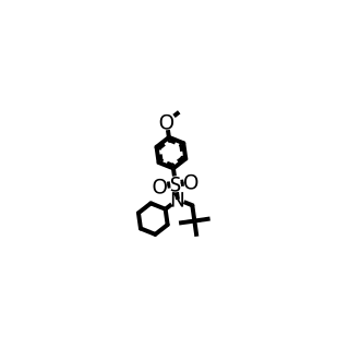 COc1ccc(S(=O)(=O)N(CC(C)(C)C)C2CCCCC2)cc1